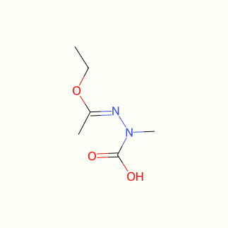 CCOC(C)=NN(C)C(=O)O